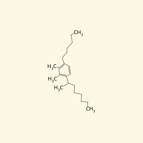 CCCCCCc1ccc(C(C)CCCCCC)c(C)c1C